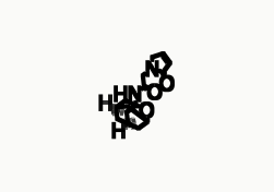 O=C(CN1CC=CC1=O)NC12C[C@@H]3CC(C[C@@H](C3)C1)O2